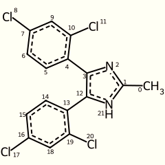 Cc1nc(-c2ccc(Cl)cc2Cl)c(-c2ccc(Cl)cc2Cl)[nH]1